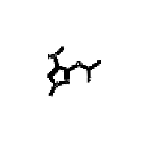 CNc1cn(C)nc1OC(F)F